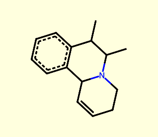 CC1c2ccccc2C2C=CCCN2C1C